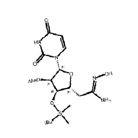 CO[C@@H]1[C@H](O[Si](C)(C)C(C)(C)C)[C@@H](CC(N)=NO)O[C@H]1n1ccc(=O)[nH]c1=O